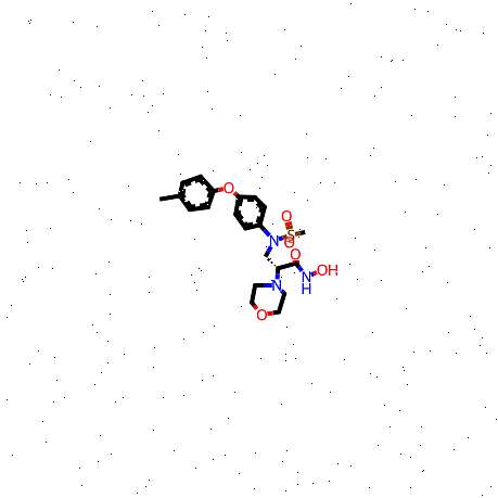 Cc1ccc(Oc2ccc(N(C[C@H](C(=O)NO)N3CCOCC3)S(C)(=O)=O)cc2)cc1